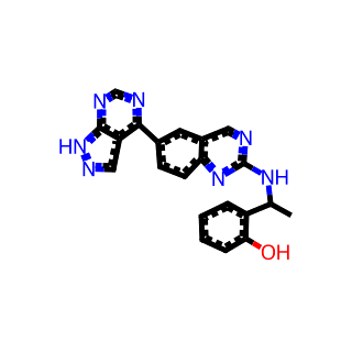 CC(Nc1ncc2cc(-c3ncnc4[nH]ncc34)ccc2n1)c1ccccc1O